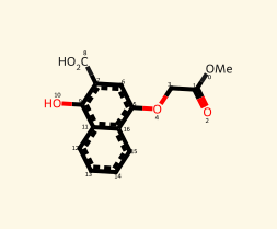 COC(=O)COc1cc(C(=O)O)c(O)c2ccccc12